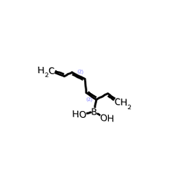 C=C/C=C\C=C(/C=C)B(O)O